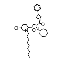 CCCCCCCCCN1CC(Cl)CCC1C1CC(C(=O)N2CC(c3ccccc3)C2)N(C2CCCCCC2)O1